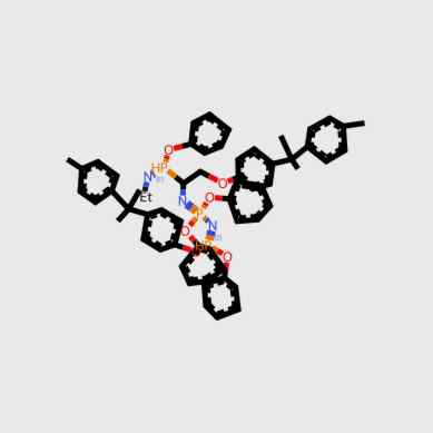 CC/N=[PH](/Oc1ccccc1)C(COc1ccc(C(C)(C)c2ccc(C)cc2)cc1)N=P(/N=[PH](/Oc1ccccc1)Oc1ccc(C(C)(C)c2ccc(C)cc2)cc1)(Oc1ccccc1)Oc1ccccc1